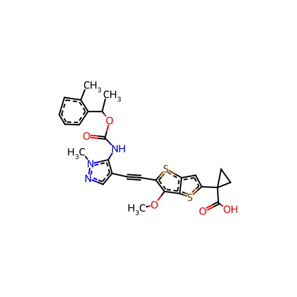 COc1c(C#Cc2cnn(C)c2NC(=O)OC(C)c2ccccc2C)sc2cc(C3(C(=O)O)CC3)sc12